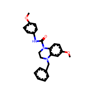 COc1ccc(NC(=O)N2CCN(Cc3ccccc3)c3cc(OC)ccc32)cc1